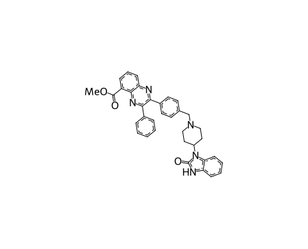 COC(=O)c1cccc2nc(-c3ccc(CN4CCC(n5c(=O)[nH]c6ccccc65)CC4)cc3)c(-c3ccccc3)nc12